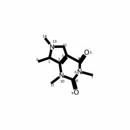 CC1c2c(c(=O)n(C)c(=O)n2C)CN1C